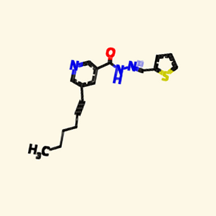 CCCCC#Cc1cncc(C(=O)N/N=C/c2cccs2)c1